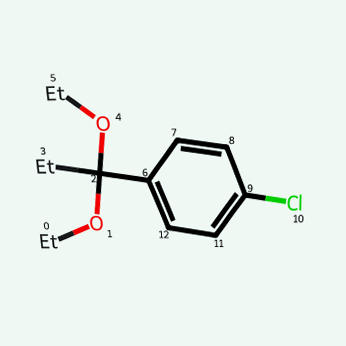 CCOC(CC)(OCC)c1ccc(Cl)cc1